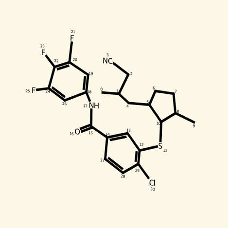 CC(CC#N)CC1CCC(C)C1Sc1cc(C(=O)Nc2cc(F)c(F)c(F)c2)ccc1Cl